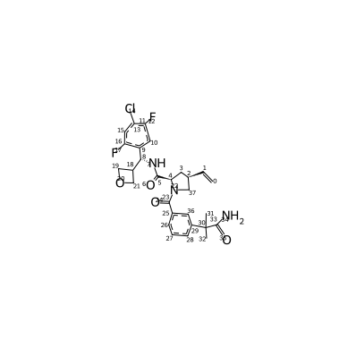 C=C[C@@H]1C[C@H](C(=O)N[C@@H](c2cc(F)c(Cl)cc2F)C2COC2)N(C(=O)c2cccc(C(C)(C)C(N)=O)c2)C1